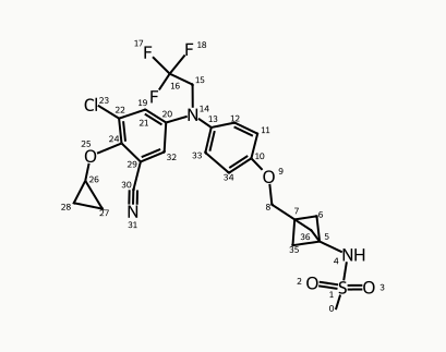 CS(=O)(=O)NC12CC(COc3ccc(N(CC(F)(F)F)c4cc(Cl)c(OC5CC5)c(C#N)c4)cc3)(C1)C2